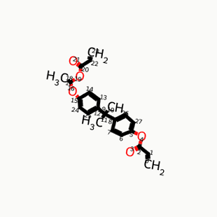 C=CC(=O)Oc1ccc(C(C)(C)c2ccc(OC(C)OC(=O)C=C)cc2)cc1